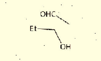 CC=O.CCCO